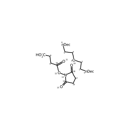 CCCCCCCCCCCCOCCCCCCCCCCCC.O=C(O)CCC(=O)ON1C(=O)CCC1=O